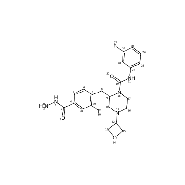 NNC(=O)c1ccc(CC2CN(C3COC3)CCN2C(=O)Nc2cccc(F)c2)c(F)c1